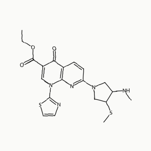 CCOC(=O)c1cn(-c2nccs2)c2nc(N3CC(NC)C(SC)C3)ccc2c1=O